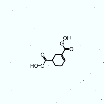 O=C(OO)C1=CCCC(C(=O)OO)C1